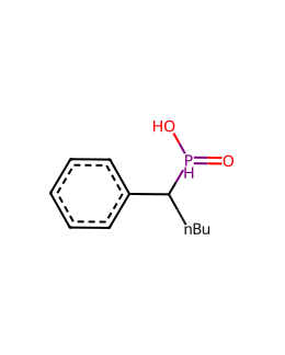 CCCCC(c1ccccc1)[PH](=O)O